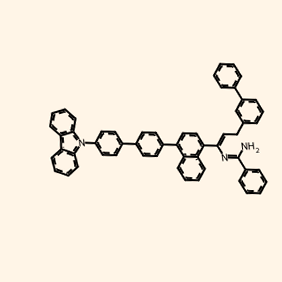 N/C(=N\C(=C/Cc1cccc(-c2ccccc2)c1)c1ccc(-c2ccc(-c3ccc(-n4c5ccccc5c5ccccc54)cc3)cc2)c2ccccc12)c1ccccc1